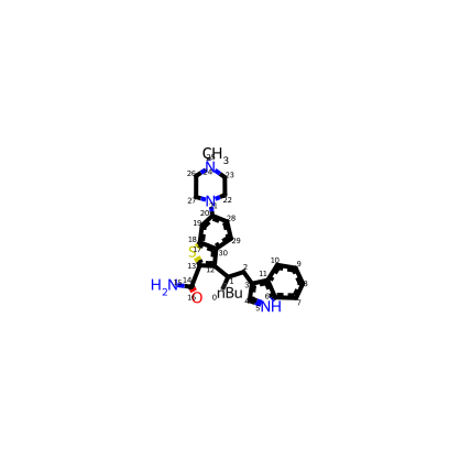 CCCCC(Cc1c[nH]c2ccccc12)c1c(C(N)=O)sc2cc(N3CCN(C)CC3)ccc12